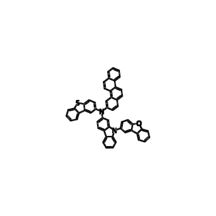 c1ccc2c(c1)ccc1c3cc(N(c4ccc5sc6ccccc6c5c4)c4ccc5c6ccccc6n(-c6ccc7oc8ccccc8c7c6)c5c4)ccc3ccc21